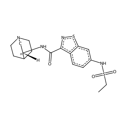 CCS(=O)(=O)Nc1ccc2c(C(=O)N[C@H]3CN4CCC3CC4)nsc2c1